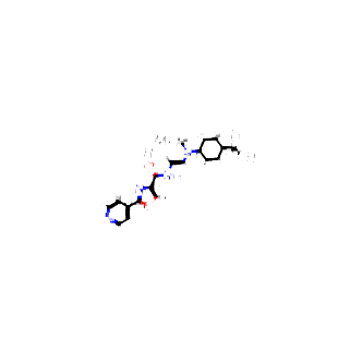 CBC1CCC(N(/C=C(\C)NC(=O)c2coc(-c3ccncc3)n2)NC)CC1